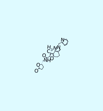 Cc1c(C(=O)NC[C@@H]2CCC(=O)O2)oc2c1-c1nn(Cc3ccccn3)cc1CC2